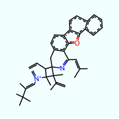 C=CC1C2(Cc3ccc4c(oc5c6ccccc6ccc45)c3C(C=C(C)C)=N2)C(C)(C(=C)C)C1(C)[N+](=C)/C=C(\C)C(C)(C)C